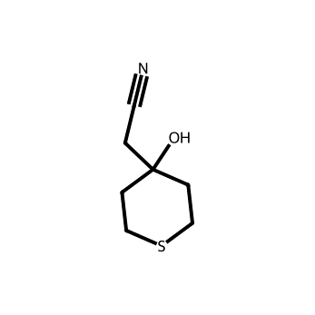 N#CCC1(O)CCSCC1